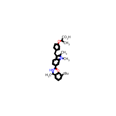 Cc1c(Cc2ccc(OC(C)C(=O)O)cc2)c2ccc(C(=O)N[C@@H](C)c3cccc(C(C)(C)C)c3)cc2n1C